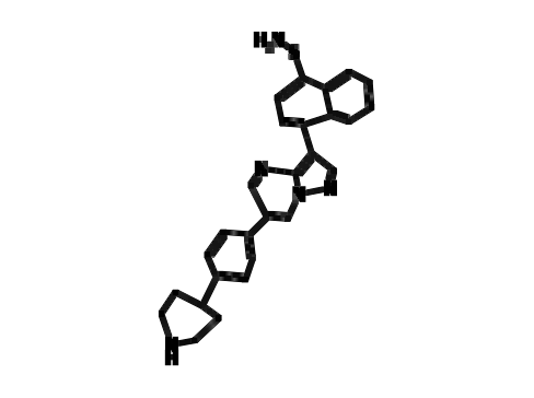 NSc1ccc(-c2cnn3cc(-c4ccc(C5CCNCC5)cc4)cnc23)c2ccccc12